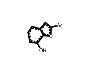 CC(=O)c1cc2cccc(O)c2o1